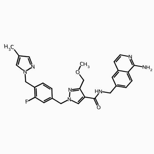 COCc1nn(Cc2ccc(Cn3cc(C)cn3)c(F)c2)cc1C(=O)NCc1ccc2c(N)nccc2c1